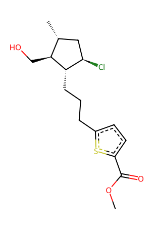 COC(=O)c1ccc(CCC[C@@H]2[C@@H](CO)[C@H](C)C[C@H]2Cl)s1